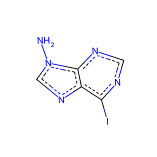 Nn1cnc2c(I)ncnc21